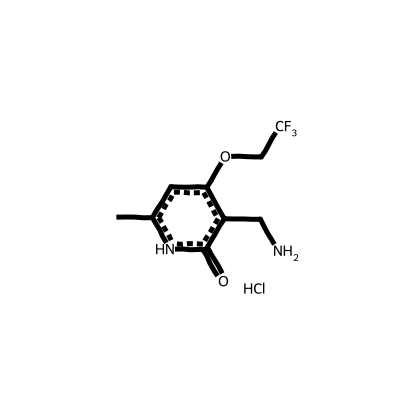 Cc1cc(OCC(F)(F)F)c(CN)c(=O)[nH]1.Cl